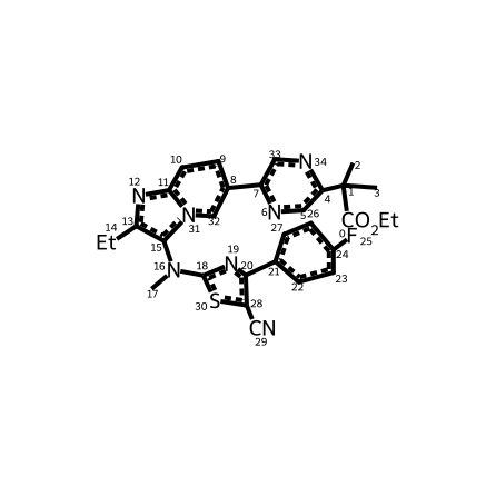 CCOC(=O)C(C)(C)c1cnc(-c2ccc3nc(CC)c(N(C)c4nc(-c5ccc(F)cc5)c(C#N)s4)n3c2)cn1